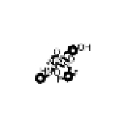 CN1CC(=O)N2C(CN(Cc3cc(F)ccc3F)C(=O)[C@@H]2Cc2ccc(O)cc2)N1C(=O)NCc1ccccc1